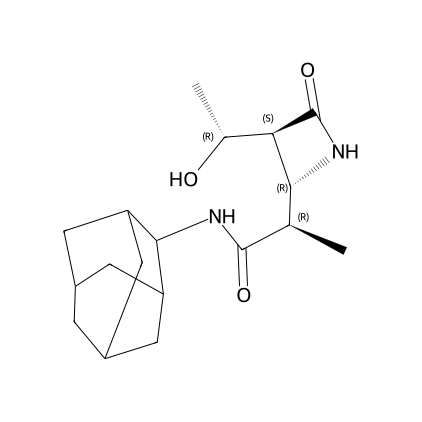 C[C@@H](O)[C@H]1C(=O)N[C@@H]1[C@@H](C)C(=O)NC1C2CC3CC(C2)CC1C3